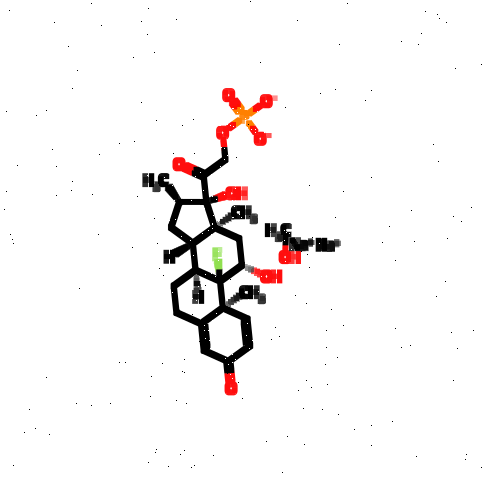 CO.C[C@@H]1C[C@H]2[C@@H]3CCC4=CC(=O)C=C[C@]4(C)[C@@]3(F)[C@@H](O)C[C@]2(C)[C@@]1(O)C(=O)COP(=O)([O-])[O-].[Na+].[Na+]